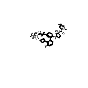 CN1CC(C)(C)C[C@H]1C(=O)N[C@@H]1CC[C@@H](Oc2ccc(C(C)(C)C(=O)NS(=O)(=O)N(C)C)cc2-c2cccc(F)c2C2CCC2)C1